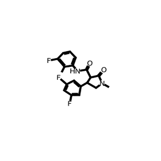 Cc1c(F)cccc1NC(=O)C1C(=O)N(C)CC1c1cc(F)cc(F)c1